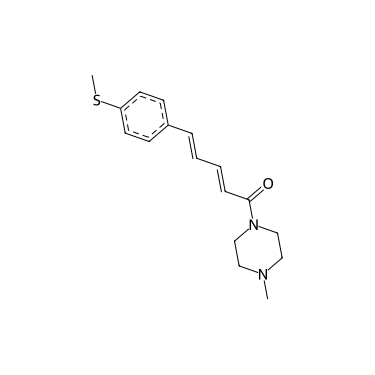 CSc1ccc(/C=C/C=C/C(=O)N2CCN(C)CC2)cc1